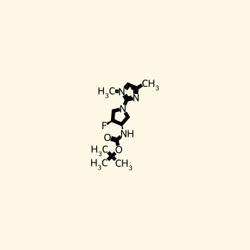 Cc1cn(C)c(N2C[C@H](NC(=O)OC(C)(C)C)[C@@H](F)C2)n1